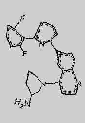 NC1CCCN(c2ccnc3ccc(-c4cccc(-c5c(F)cccc5F)n4)cc23)C1